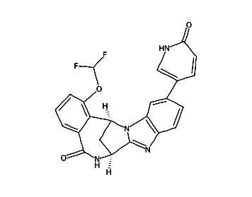 O=C1N[C@H]2C[C@@H](c3c(OC(F)F)cccc31)n1c2nc2ccc(-c3ccc(=O)[nH]c3)cc21